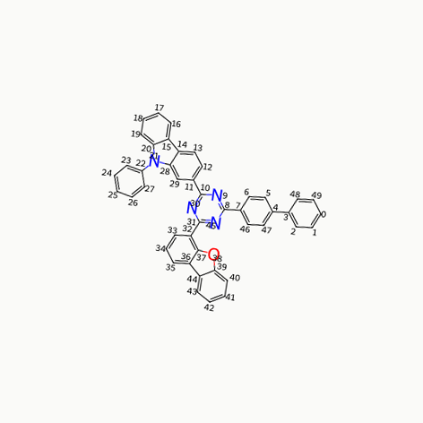 c1ccc(-c2ccc(-c3nc(-c4ccc5c6ccccc6n(-c6ccccc6)c5c4)nc(-c4cccc5c4oc4ccccc45)n3)cc2)cc1